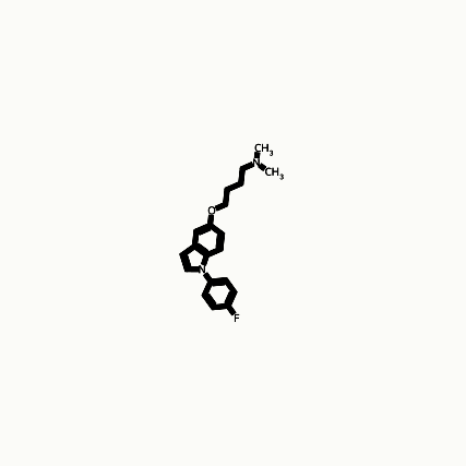 CN(C)CCCCOc1ccc2c(ccn2-c2ccc(F)cc2)c1